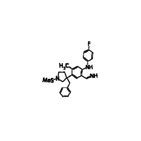 CSN1CCC(Cc2ccccc2)(c2cc(C=N)c(Nc3ccc(F)cc3)cc2C)C1